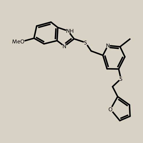 COc1ccc2[nH]c(SCc3cc(SCc4ccco4)cc(C)n3)nc2c1